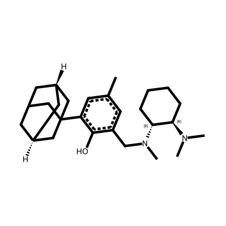 Cc1cc(CN(C)[C@@H]2CCCC[C@H]2N(C)C)c(O)c(C23CC4C[C@H](C2)C[C@H](C4)C3)c1